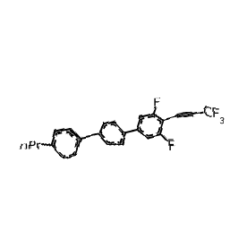 CCCc1ccc(-c2ccc(-c3cc(F)c(C#CC(F)(F)F)c(F)c3)cc2)cc1